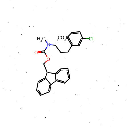 CN(C(=O)OCC1c2ccccc2-c2ccccc21)[C@@H](CCc1cccc(Cl)c1)C(=O)O